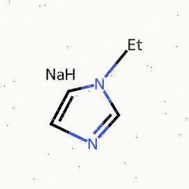 CCn1ccnc1.[NaH]